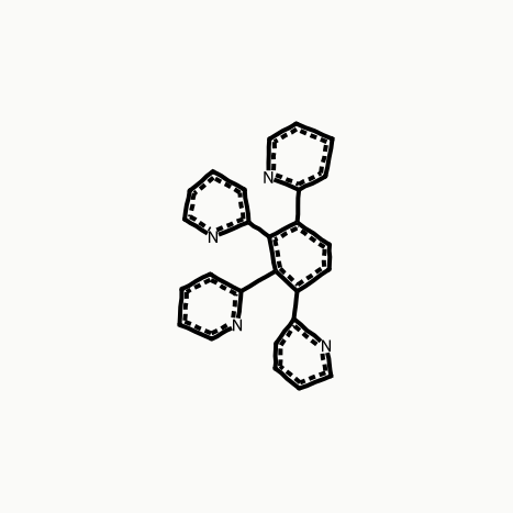 c1ccc(-c2ccc(-c3ccccn3)c(-c3ccccn3)c2-c2ccccn2)nc1